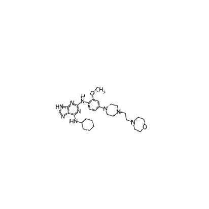 COc1cc(N2CCN(CCN3CCOCC3)CC2)ccc1Nc1nc(NC2CCCCC2)c2nc[nH]c2n1